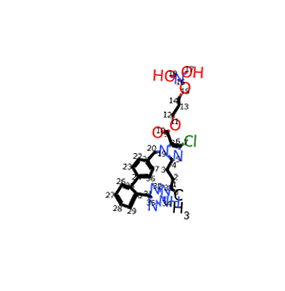 CCCCc1nc(Cl)c(C(=O)OCCCON(O)O)n1Cc1ccc(-c2ccccc2-c2nn[nH]n2)cc1